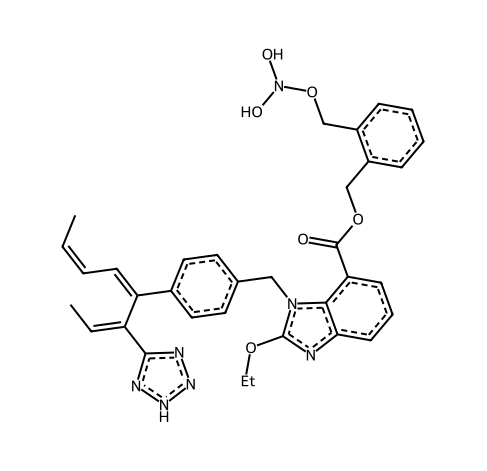 C\C=C/C=C(\C(=C/C)c1nn[nH]n1)c1ccc(Cn2c(OCC)nc3cccc(C(=O)OCc4ccccc4CON(O)O)c32)cc1